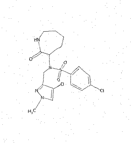 Cn1cc(Cl)c(CN(C2CCCCNC2=O)S(=O)(=O)c2ccc(Cl)cc2)n1